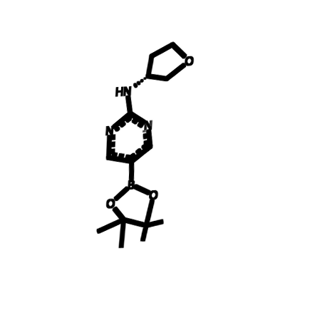 CC1(C)OB(c2cnc(N[C@@H]3CCOC3)nc2)OC1(C)C